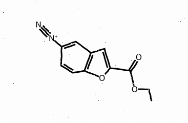 CCOC(=O)c1cc2cc([N+]#N)ccc2o1